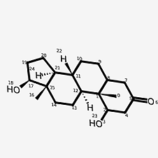 C[C@]12C(O)CC(=O)CC1CC[C@@H]1[C@@H]2CC[C@]2(C)[C@@H](O)CC[C@@H]12